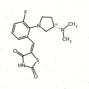 CN(C)[C@H]1CCN(c2c(F)cccc2C=C2SC(=O)NC2=O)C1